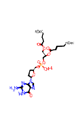 CCCCCCCCCCCCCC(=O)OC[C@H](COP(=O)(O)OC[C@@H]1CC[C@H](n2cnc3c(=O)[nH]c(N)nc32)O1)OC(=O)CCCCCCCCCCCCC